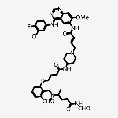 COc1cc2ncnc(Nc3ccc(F)c(Cl)c3)c2cc1NC(=O)/C=C/CN1CCC(NC(=O)CCCSc2cccc(C=O)c2CN(C)C(C)CCC(=O)NC=O)CC1